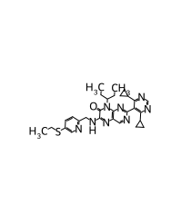 CCSc1ccc(CNc2nc3cnc(-c4c(C5CC5)ncnc4C4CC4)nc3n(C(CC)CC)c2=O)nc1